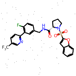 O=C(NCc1ccc(F)c(-c2ccc(C(F)(F)F)cn2)c1)[C@@H]1CCCN1S(=O)(=O)c1cc2ccccc2o1